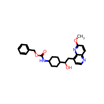 COc1ccc2nccc(C[C@@H](O)C3CCC(NC(=O)OCc4ccccc4)CC3)c2n1